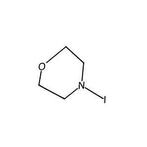 IN1CCOCC1